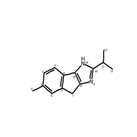 Cc1ccc2c(c1)Cc1nc(C(C)C)[nH]c1-2